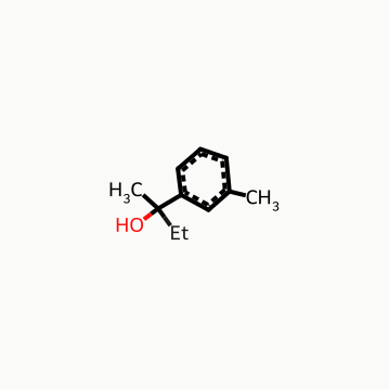 CCC(C)(O)c1cccc(C)c1